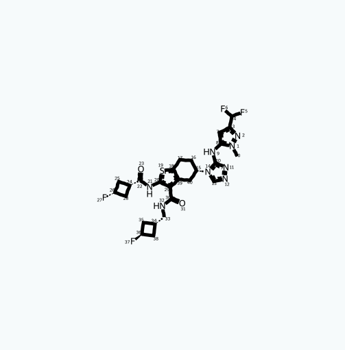 Cn1nc(C(F)F)cc1Nc1nncn1[C@H]1CCc2sc(NC(=O)[C@H]3C[C@@H](F)C3)c(C(=O)NC[C@H]3C[C@H](F)C3)c2C1